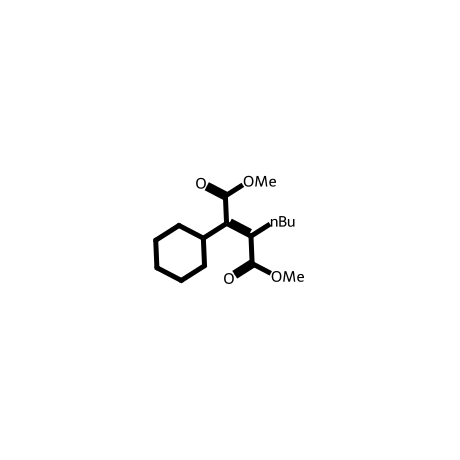 CCCCC(C(=O)OC)=C(C(=O)OC)C1CCCCC1